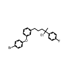 CCC(C)(CCCc1cccc(Oc2ccc(Br)cc2)c1)c1ccc(F)cc1